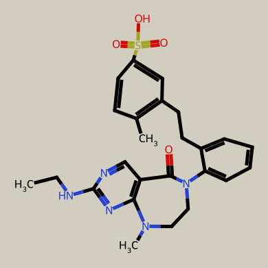 CCNc1ncc2c(n1)N(C)CCN(c1ccccc1CCc1cc(S(=O)(=O)O)ccc1C)C2=O